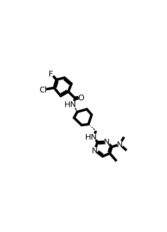 Cc1cnc(NC[C@H]2CC[C@@H](NC(=O)c3ccc(F)c(Cl)c3)CC2)nc1N(C)C